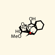 COC1=CON2C1=C1CCC(O)(O)C3=C1C1(CCCC=C1O3)CC2O